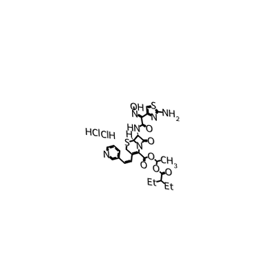 CCC(CC)C(=O)OC(C)OC(=O)C1=C(/C=C\c2cccnc2)CS[C@H]2[C@H](NC(=O)C(=NO)c3csc(N)n3)C(=O)N12.Cl.Cl